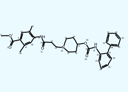 COC(=O)c1cc(C)c(NC(=O)CCN2CCC(OC(=O)Nc3ccccc3-c3ccccc3)CC2)cc1C